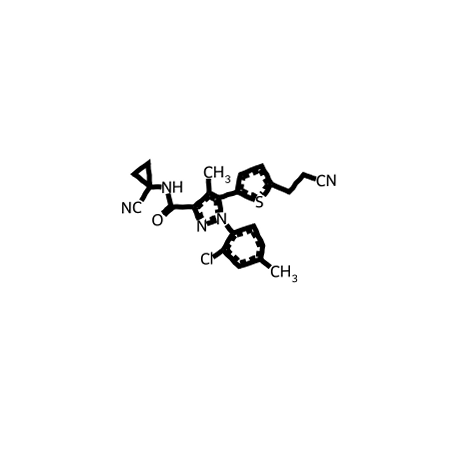 Cc1ccc(-n2nc(C(=O)NC3(C#N)CC3)c(C)c2-c2ccc(CCC#N)s2)c(Cl)c1